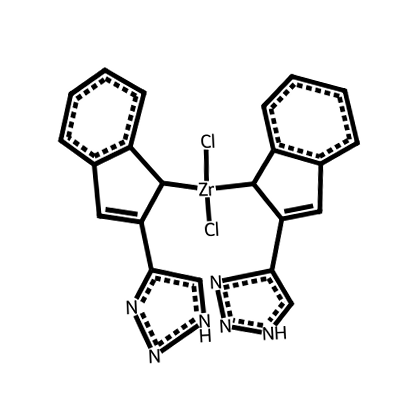 [Cl][Zr]([Cl])([CH]1C(c2c[nH]nn2)=Cc2ccccc21)[CH]1C(c2c[nH]nn2)=Cc2ccccc21